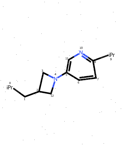 CC(C)CC1CN(c2ccc(C(C)C)nc2)C1